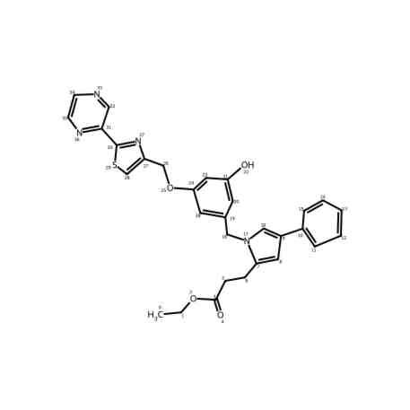 CCOC(=O)CCc1cc(-c2ccccc2)cn1Cc1cc(O)cc(OCc2csc(-c3cnccn3)n2)c1